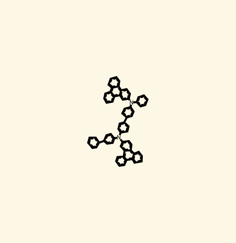 c1ccc(-c2ccc(N(c3ccc(-c4ccc(N(c5ccccc5)c5ccc6c7ccccc7c7ccccc7c6c5)cc4)cc3)c3ccc4c5ccccc5c5ccccc5c4c3)cc2)cc1